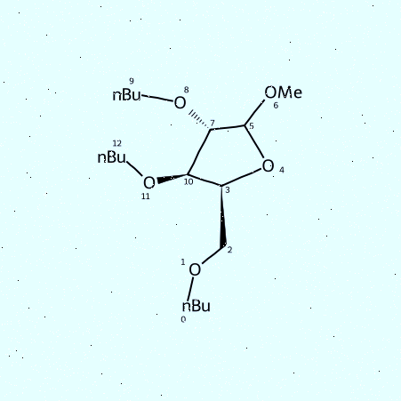 CCCCOC[C@@H]1OC(OC)[C@@H](OCCCC)[C@@H]1OCCCC